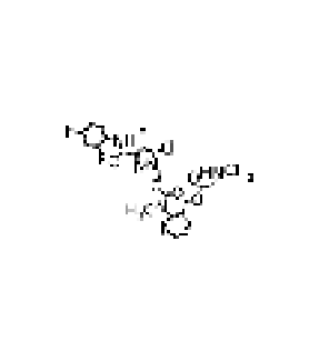 CNCC(=O)OCc1cccnc1N(C)C(=O)OCn1nc(C(=O)Nc2ccc(F)cc2F)c(F)c1Cl